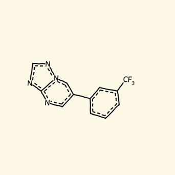 FC(F)(F)c1cccc(-c2cnc3ncnn3c2)c1